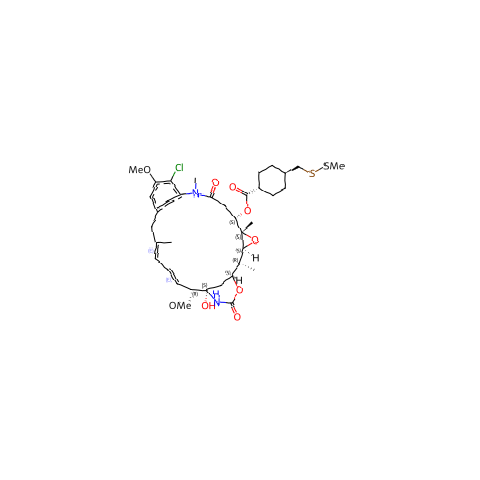 COc1cc2cc(c1Cl)N(C)C(=O)C[C@H](OC(=O)[C@H]1CC[C@H](CSSC)CC1)[C@]1(C)O[C@H]1[C@H](C)[C@@H]1C[C@@](O)(NC(=O)O1)[C@H](OC)/C=C/C=C(\C)C2